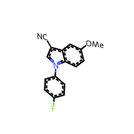 COc1ccc2c(c1)c(C#N)cn2-c1ccc(F)cc1